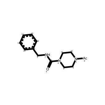 CC(=O)N1CCN(C(=O)NCc2ccccc2)CC1